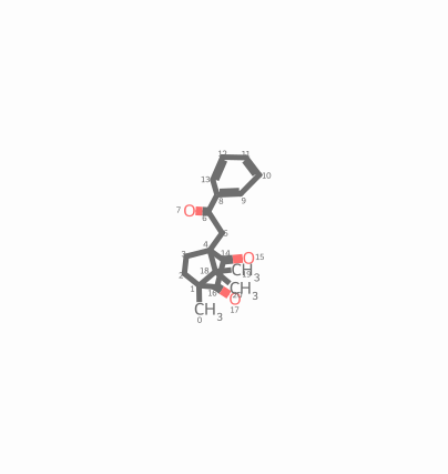 CC12CCC(CC(=O)c3ccccc3)(C(=O)C1=O)C2(C)C